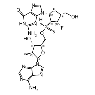 Nc1nc2c(ncn2[C@@H]2S[C@H](CO)[C@H](F)[C@H]2P(=S)(S)OC[C@H]2O[C@@H](n3cnc4c(N)ncnc43)[C@@H](F)[C@@H]2O)c(=O)[nH]1